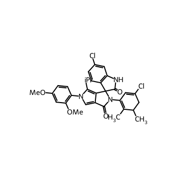 COc1ccc(-n2cc3c(c2C(C)C)C2(C(=O)Nc4cc(Cl)ccc42)N(C2=C(C)C(C)CC(Cl)=C2)C3=O)c(OC)c1